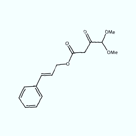 COC(OC)C(=O)CC(=O)OCC=Cc1ccccc1